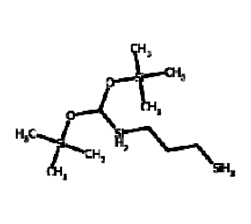 C[Si](C)(C)OC(O[Si](C)(C)C)[SiH2]CCC[SiH3]